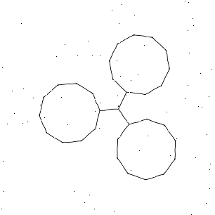 C1CCCCC([C](C2CCCCCCCCC2)C2CCCCCCCCC2)CCCC1